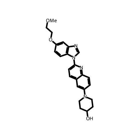 COCCOc1ccc2c(c1)ncn2-c1ccc2cc(N3CCC(O)CC3)ccc2n1